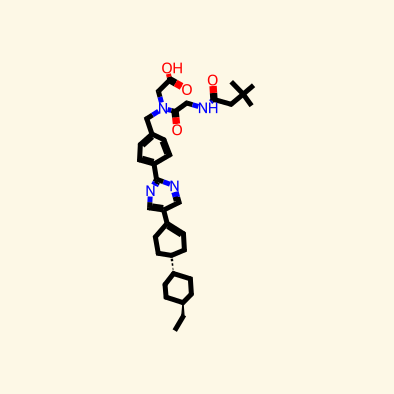 CC[C@H]1CC[C@H](C2CC=C(c3cnc(-c4ccc(CN(CC(=O)O)C(=O)CNC(=O)CC(C)(C)C)cc4)nc3)CC2)CC1